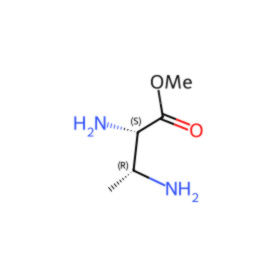 COC(=O)[C@@H](N)[C@@H](C)N